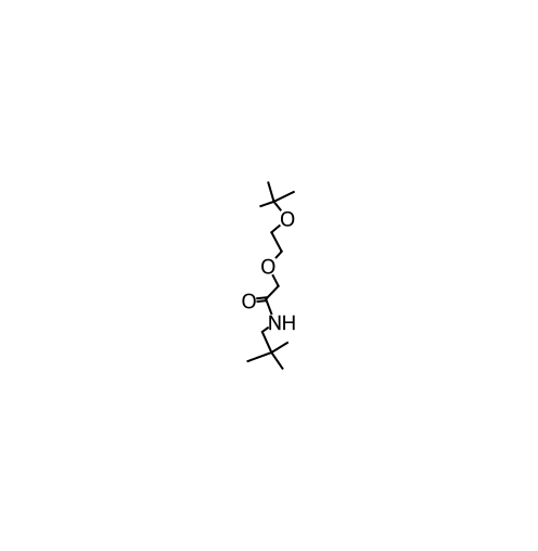 CC(C)(C)CNC(=O)COCCOC(C)(C)C